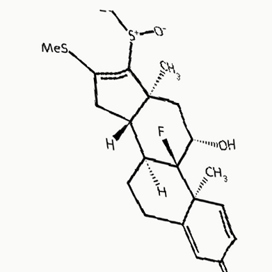 CC[S+]([O-])C1=C(SC)C[C@H]2[C@@H]3CCC4=CC(=O)C=C[C@]4(C)[C@@]3(F)[C@@H](O)C[C@]12C